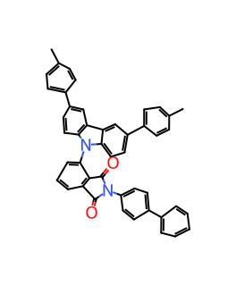 Cc1ccc(-c2ccc3c(c2)c2cc(-c4ccc(C)cc4)ccc2n3-c2cccc3c2C(=O)N(c2ccc(-c4ccccc4)cc2)C3=O)cc1